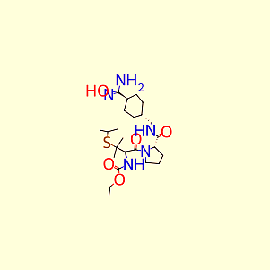 CCOC(=O)N[C@H](C(=O)N1CCC[C@H]1C(=O)NC[C@H]1CC[C@H](C(N)=NO)CC1)C(C)(C)SC(C)C